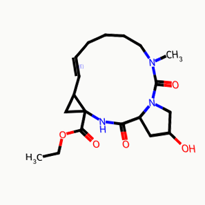 CCOC(=O)C12CC1/C=C/CCCCN(C)C(=O)N1CC(O)CC1C(=O)N2